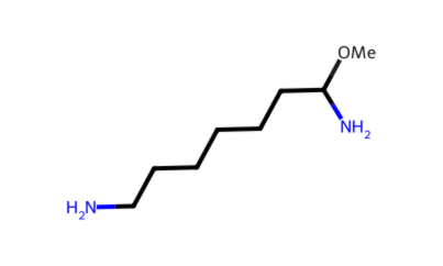 COC(N)CCCCCCN